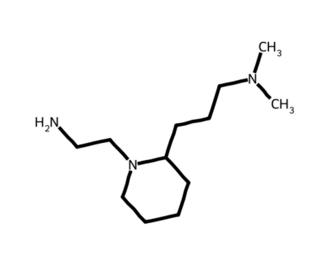 CN(C)CCCC1CCCCN1CCN